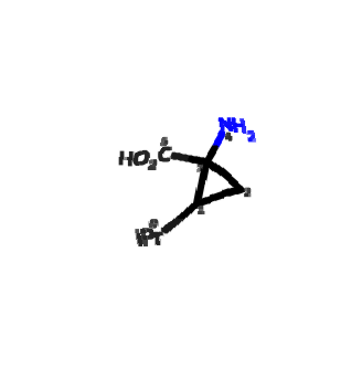 CC(C)C1CC1(N)C(=O)O